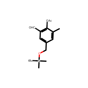 CC(=O)Oc1c(C)cc(CO[Si](C)(C)C(C)(C)C)cc1C=O